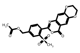 CC(=O)OCc1ccc(-c2nc3cc4c(cc3c(=O)o2)OCCO4)c(S(C)(=O)=O)c1